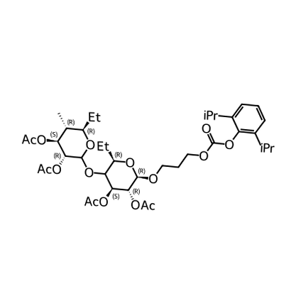 CC[C@H]1O[C@@H](OCCCOC(=O)Oc2c(C(C)C)cccc2C(C)C)[C@H](OC(C)=O)[C@@H](OC(C)=O)C1OC1O[C@H](CC)[C@@H](C)[C@H](OC(C)=O)[C@H]1OC(C)=O